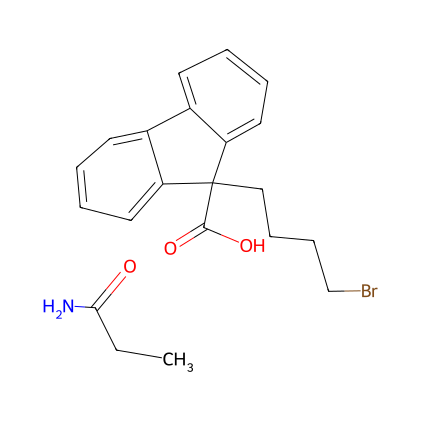 CCC(N)=O.O=C(O)C1(CCCCBr)c2ccccc2-c2ccccc21